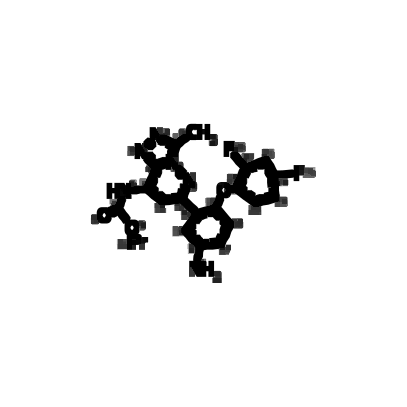 Cc1nnc2c(NC(=O)OC(C)C)cc(-c3cc(N)ccc3Oc3ccc(F)cc3F)nn12